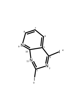 Ic1nc(I)c2cccnc2n1